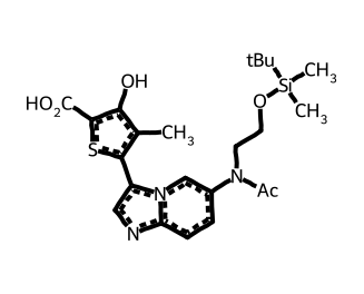 CC(=O)N(CCO[Si](C)(C)C(C)(C)C)c1ccc2ncc(-c3sc(C(=O)O)c(O)c3C)n2c1